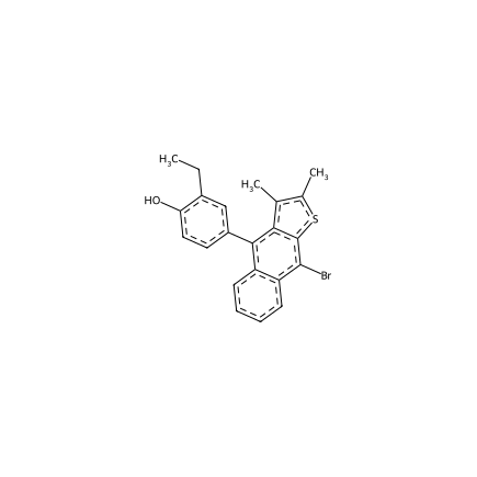 CCc1cc(-c2c3ccccc3c(Br)c3sc(C)c(C)c23)ccc1O